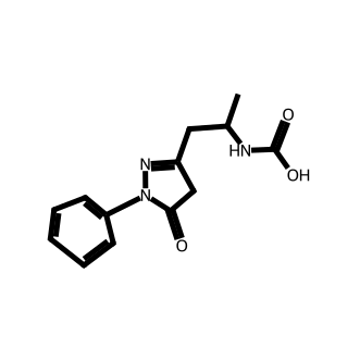 CC(CC1=NN(c2ccccc2)C(=O)C1)NC(=O)O